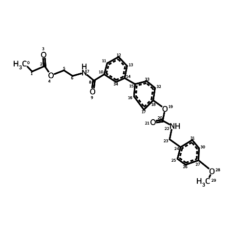 CCC(=O)OCCNC(=O)c1cccc(-c2ccc(OC(=O)NCc3ccc(OC)cc3)cc2)c1